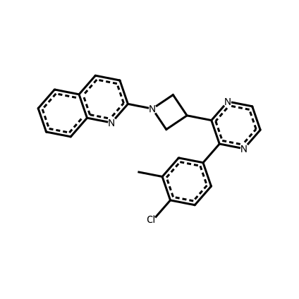 Cc1cc(-c2nccnc2C2CN(c3ccc4ccccc4n3)C2)ccc1Cl